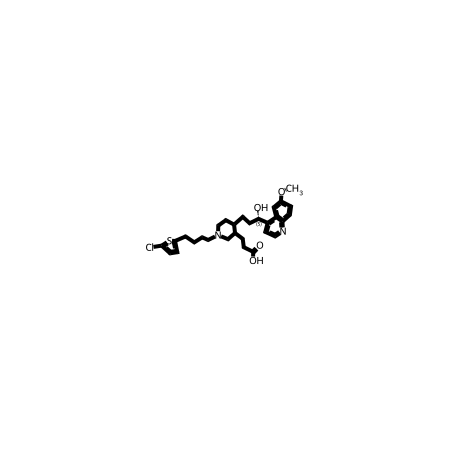 COc1ccc2nccc([C@@H](O)CCC3CCN(CCCCc4ccc(Cl)s4)CC3CCC(=O)O)c2c1